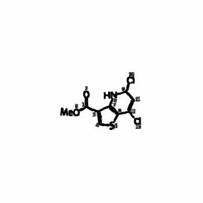 COC(=O)c1csc2c1NC(Cl)C=C2Cl